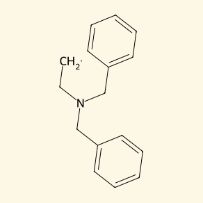 [CH2]CN(Cc1ccccc1)Cc1ccccc1